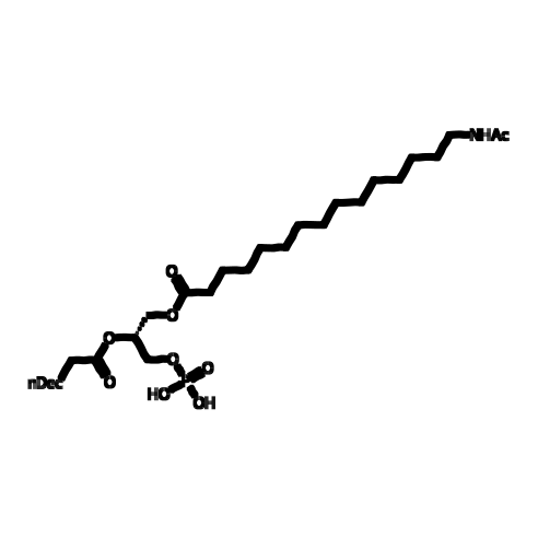 CCCCCCCCCCCC(=O)O[C@H](COC(=O)CCCCCCCCCCCCCCNC(C)=O)COP(=O)(O)O